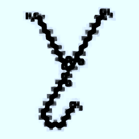 CCCCC/C=C\C/C=C\C/C=C\CCCCCCCCC(=O)OC[C@@H](COC(=O)CCCCCCCCCCCCC)OC(=O)CCCCCCCCCCCCC